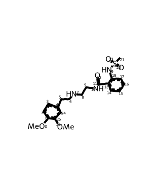 COc1ccc(CCNCCNC(=O)c2ccccc2NS(C)(=O)=O)cc1OC